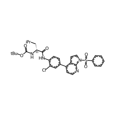 CC(C)C[C@@H](NC(=O)OC(C)(C)C)C(=O)Nc1ccc(-c2ccnc3c2ccn3S(=O)(=O)c2ccccc2)cc1Cl